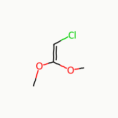 COC(=CCl)OC